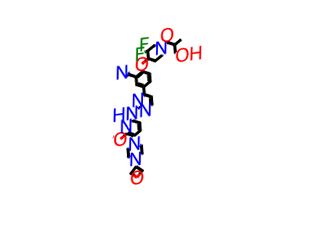 COc1nc(Nc2nccc(-c3ccc(OC4CCN(C(=O)C(C)CO)CC4(F)F)c(C#N)c3)n2)ccc1N1CCN(C2COC2)CC1